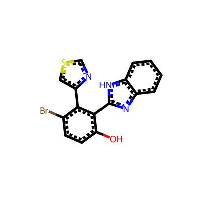 Oc1ccc(Br)c(-c2cscn2)c1-c1nc2ccccc2[nH]1